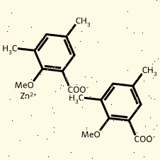 COc1c(C)cc(C)cc1C(=O)[O-].COc1c(C)cc(C)cc1C(=O)[O-].[Zn+2]